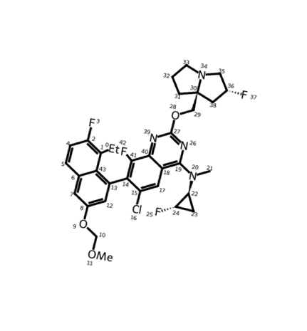 CCc1c(F)ccc2cc(OCOC)cc(-c3c(Cl)cc4c(N(C)[C@H]5C[C@@H]5F)nc(OC[C@@]56CCCN5C[C@H](F)C6)nc4c3F)c12